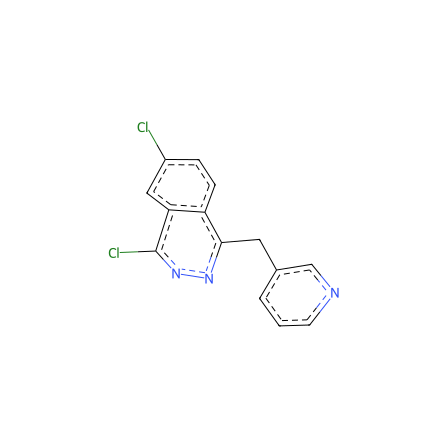 Clc1ccc2c(Cc3cccnc3)nnc(Cl)c2c1